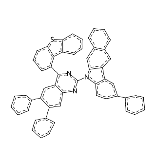 c1ccc(-c2ccc3c(c2)c2cc4ccccc4cc2n3-c2nc(-c3cccc4sc5ccccc5c34)c3cc(-c4ccccc4)c(-c4ccccc4)cc3n2)cc1